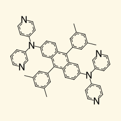 Cc1cc(C)cc(-c2c3ccc(N(c4ccncc4)c4cccnc4)cc3c(-c3cc(C)cc(C)c3)c3ccc(N(c4ccncc4)c4cccnc4)cc23)c1